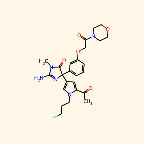 CC(=O)c1cc(C2(c3cccc(OCC(=O)N4CCOCC4)c3)N=C(N)N(C)C2=O)cn1CCCF